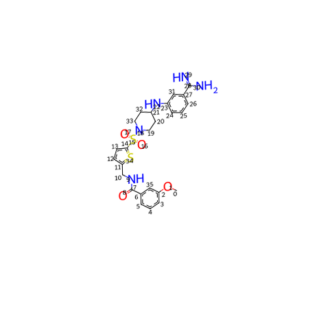 COc1cccc(C(=O)NCc2ccc(S(=O)(=O)N3CCC(Nc4cccc(C(=N)N)c4)CC3)s2)c1